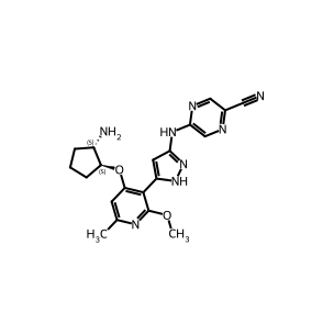 COc1nc(C)cc(O[C@H]2CCC[C@@H]2N)c1-c1cc(Nc2cnc(C#N)cn2)n[nH]1